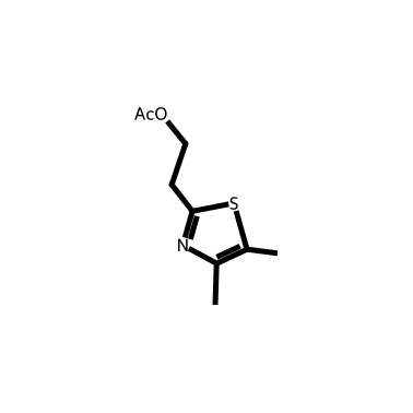 CC(=O)OCCc1nc(C)c(C)s1